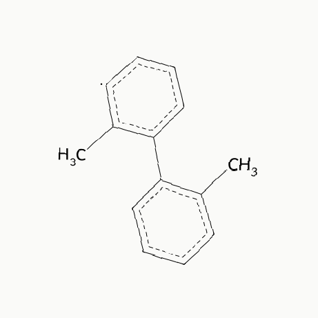 Cc1[c]cccc1-c1ccccc1C